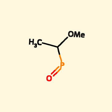 COC(C)P=O